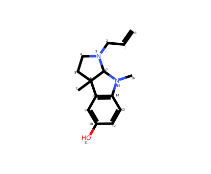 C=CCN1CCC2(C)c3cc(O)ccc3N(C)C12